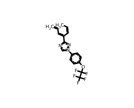 C=C/C=C(\C=C/C)c1ncn(-c2ccc(OC(F)(F)C(F)(F)F)cc2)n1